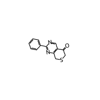 O=C1CSCc2nc(-c3ccccc3)ncc21